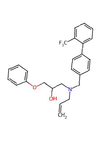 C=CCN(Cc1ccc(-c2ccccc2C(F)(F)F)cc1)CC(O)COc1ccccc1